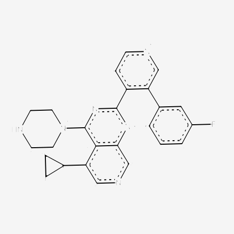 Fc1cccc(-c2cnccc2-c2nc(N3CCNCC3)c3c(C4CC4)cncc3n2)c1